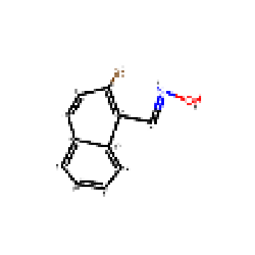 O/N=C/c1c(Br)ccc2ccccc12